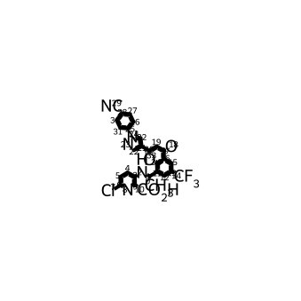 C[C@@H](Nc1ccc(Cl)nc1C(=O)O)c1cc(C(F)(F)F)cc2c(=O)cc(-c3cnn(-c4ccc(C#N)cc4)c3)oc12